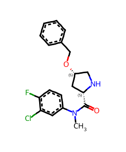 CN(C(=O)[C@@H]1C[C@H](OCc2ccccc2)CN1)c1ccc(F)c(Cl)c1